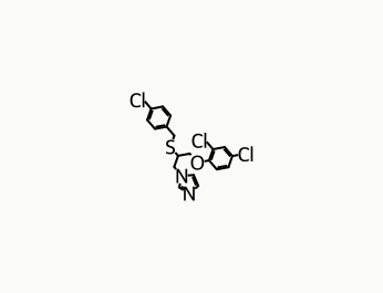 Clc1ccc(CSC(COc2ccc(Cl)cc2Cl)Cn2ccnc2)cc1